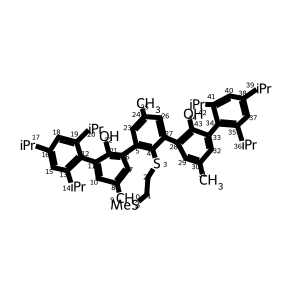 CSCCSc1c(-c2cc(C)cc(-c3c(C(C)C)cc(C(C)C)cc3C(C)C)c2O)cc(C)cc1-c1cc(C)cc(-c2c(C(C)C)cc(C(C)C)cc2C(C)C)c1O